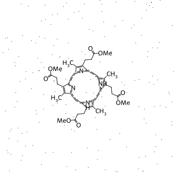 COC(=O)CCC1=C(C)c2cc3[nH]c(cc4[nH]c(cc5nc(cc1n2)C(C)=C5CCC(=O)OC)c(C)c4CCC(=O)OC)c(C)c3CCC(=O)OC